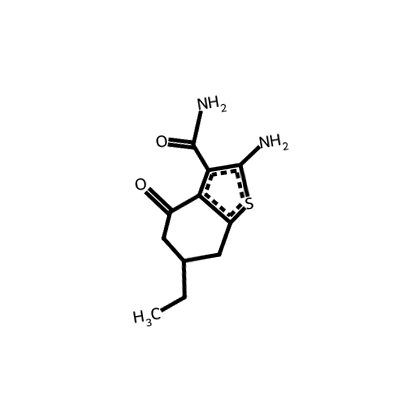 CCC1CC(=O)c2c(sc(N)c2C(N)=O)C1